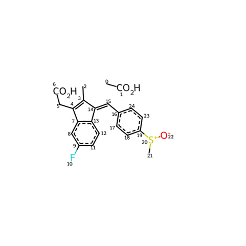 CC(=O)O.CC1=C(CC(=O)O)c2cc(F)ccc2/C1=C\c1ccc([S+](C)[O-])cc1